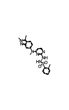 Cc1ccccc1S(=O)(=O)NNc1nccc(N(C)c2ccc3c(C)n(C)nc3c2)n1